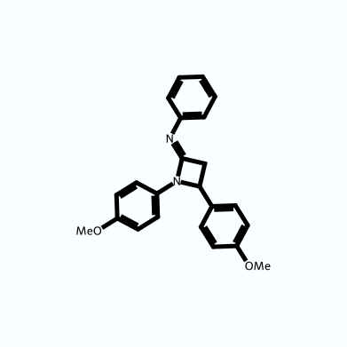 COc1ccc(C2C/C(=N\c3ccccc3)N2c2ccc(OC)cc2)cc1